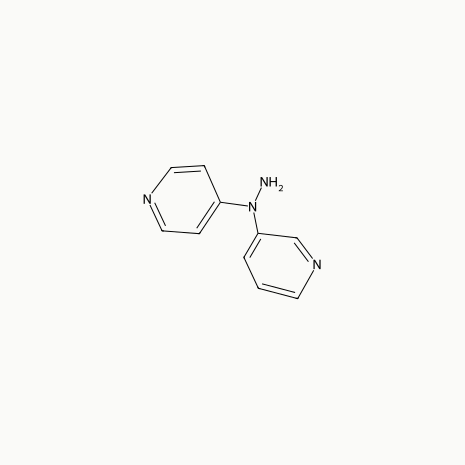 NN(c1ccncc1)c1cccnc1